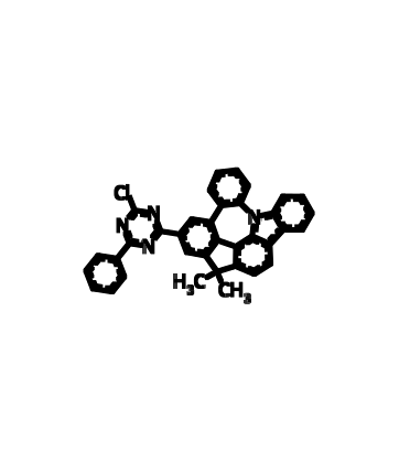 CC1(C)c2cc(-c3nc(Cl)nc(-c4ccccc4)n3)cc3c2-c2c1ccc1c4ccccc4n(c21)-c1ccccc1-3